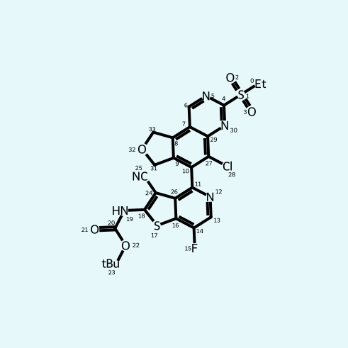 CCS(=O)(=O)c1ncc2c3c(c(-c4ncc(F)c5sc(NC(=O)OC(C)(C)C)c(C#N)c45)c(Cl)c2n1)COC3